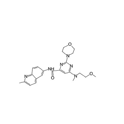 COCCN(C)c1cc(C(=O)Nc2ccc3nc(C)ccc3c2)nc(N2CCOCC2)n1